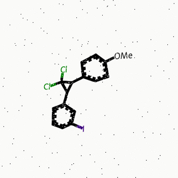 COc1ccc(C2C(c3cccc(I)c3)C2(Cl)Cl)cc1